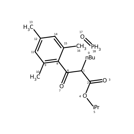 CCCCC(C(=O)OC(C)C)C(=O)c1c(C)cc(C)cc1C.O=[PH3]